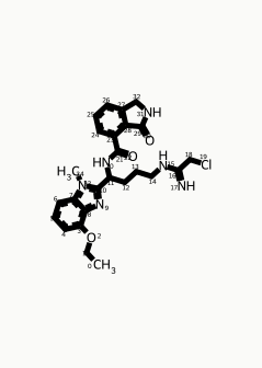 CCOc1cccc2c1nc(C(CCCNC(=N)CCl)NC(=O)c1cccc3c1C(=O)NC3)n2C